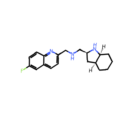 Fc1ccc2nc(CNC[C@@H]3C[C@@H]4CCCC[C@@H]4N3)ccc2c1